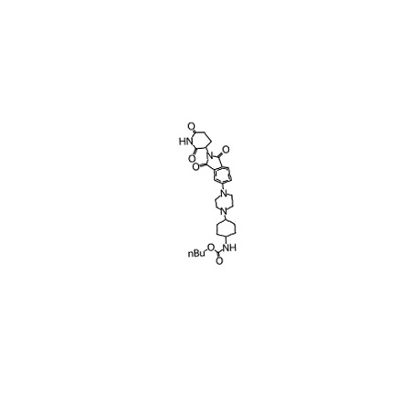 CCCCOC(=O)NC1CCC(N2CCN(c3ccc4c(c3)C(=O)N(C3CCC(=O)NC3=O)C4=O)CC2)CC1